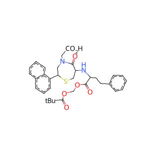 CC(C)(C)C(=O)OCOC(=O)C(CCc1ccccc1)NC1CSC(c2cccc3ccccc23)CN(CC(=O)O)C1=O